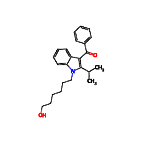 CC(C)c1c(C(=O)c2ccccc2)c2ccccc2n1CCCCCCO